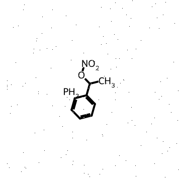 CC(O[N+](=O)[O-])c1ccccc1.P